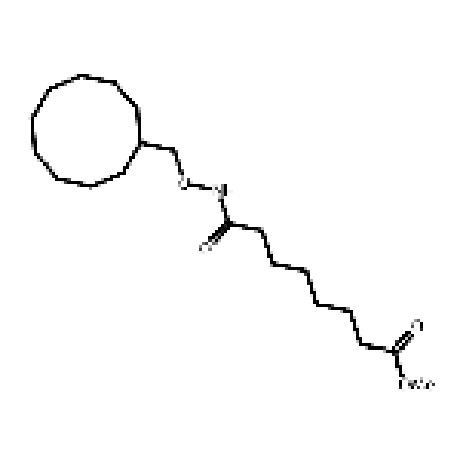 COC(=O)CCCCCCC(=O)NOCC1CCCCCCCCC1